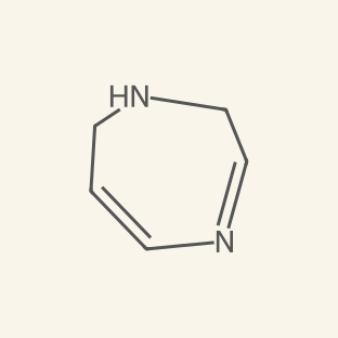 C1=CN=CCNC1